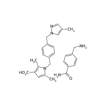 Cc1cnn(Cc2ccc(Cn3c(C)cc(C(=O)O)c3C)cc2)c1.NCc1ccc(C(N)=O)cc1